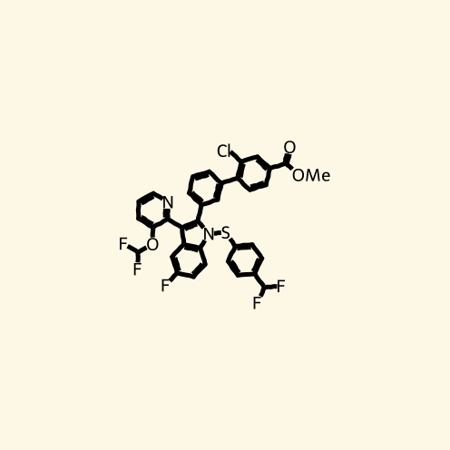 COC(=O)c1ccc(-c2cccc(-c3c(-c4ncccc4OC(F)F)c4cc(F)ccc4n3Sc3ccc(C(F)F)cc3)c2)c(Cl)c1